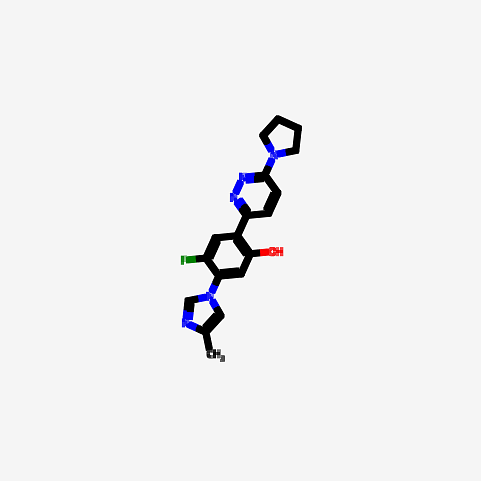 Cc1cn(-c2cc(O)c(-c3ccc(N4CCCC4)nn3)cc2F)cn1